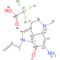 C=CCn1cc2c3c1C(=O)C(N)=CC3N(C)CC2.O=C(O)C(F)(F)F